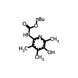 CCCCOC(=O)Nc1nc(C)c(O)c(C)c1C